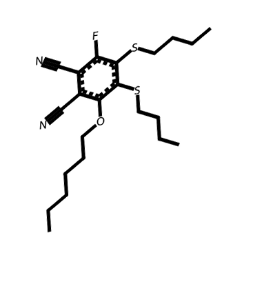 CCCCCCOc1c(C#N)c(C#N)c(F)c(SCCCC)c1SCCCC